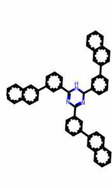 c1cc(C2=NC(c3cccc(-c4ccc5ccccc5c4)c3)NC(c3cccc(-c4ccc5ccccc5c4)c3)=N2)cc(-c2ccc3ccccc3c2)c1